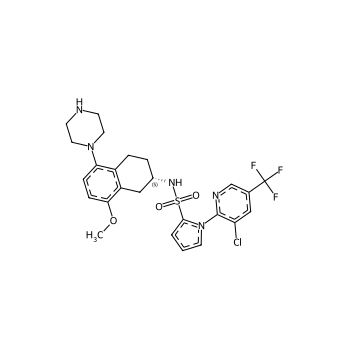 COc1ccc(N2CCNCC2)c2c1C[C@@H](NS(=O)(=O)c1cccn1-c1ncc(C(F)(F)F)cc1Cl)CC2